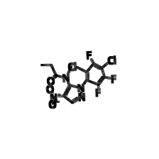 CCC(=O)N(C)c1c([N+](=O)[O-])cnn1-c1c(F)c(F)c(Cl)c(F)c1Cl